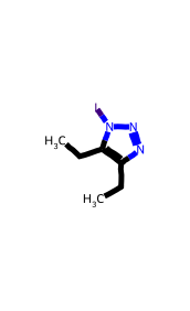 CCc1nnn(I)c1CC